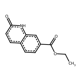 CCOC(=O)c1ccc2ccc(=O)[nH]c2c1